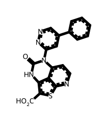 O=C(O)c1sc2nccc3c2c1NC(=O)N3c1cc(-c2ccccc2)cnn1